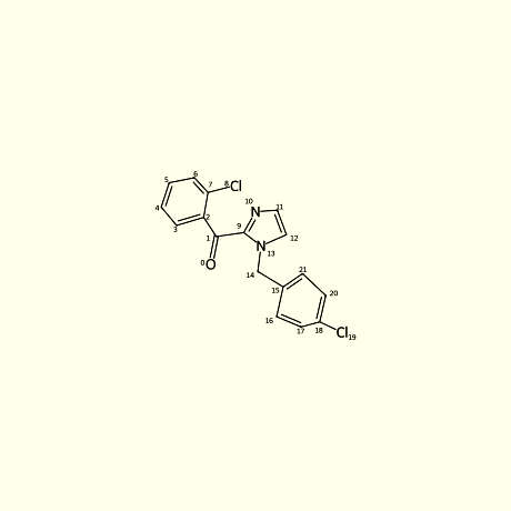 O=C(c1ccccc1Cl)c1nccn1Cc1ccc(Cl)cc1